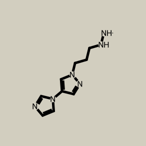 [NH]NCCCn1cc(-n2ccnc2)cn1